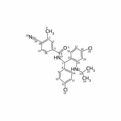 Cc1cc(C(=O)NC(c2ccc(Cl)cc2)c2ccc(Cl)cc2NC(C)C)ccc1C#N